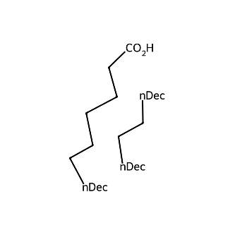 CCCCCCCCCCCCCCCC(=O)O.CCCCCCCCCCCCCCCCCCCCCC